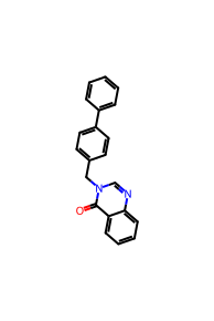 O=c1c2ccccc2ncn1Cc1ccc(-c2ccccc2)cc1